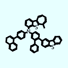 CC1=C=CC=Cc2c1sc1c(N(c3ccc(C4=CCCc5ccccc54)cc3)c3ccc(-c4ccc5sc6ccccc6c5c4)c(-c4ccccc4)c3)cccc21